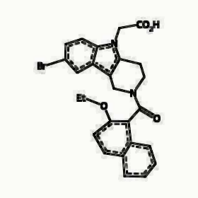 CCOc1ccc2ccccc2c1C(=O)N1CCc2c(c3cc(Br)ccc3n2CC(=O)O)C1